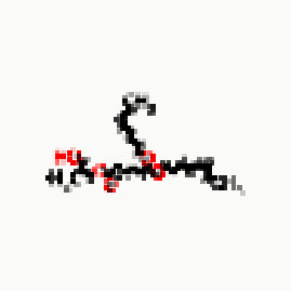 [CH2]C(CO)COC(=O)CCCCC(OCCCC/C=C\CC)OCCCC/C=C\CC